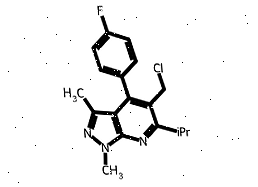 Cc1nn(C)c2nc(C(C)C)c(CCl)c(-c3ccc(F)cc3)c12